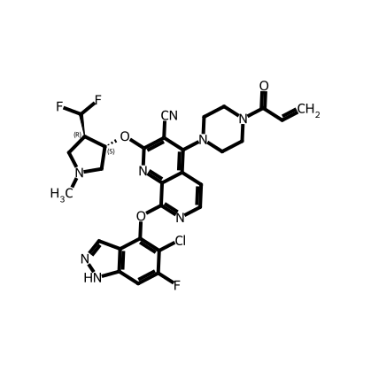 C=CC(=O)N1CCN(c2c(C#N)c(O[C@@H]3CN(C)C[C@H]3C(F)F)nc3c(Oc4c(Cl)c(F)cc5[nH]ncc45)nccc23)CC1